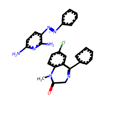 CN1C(=O)CN=C(c2ccccc2)c2cc(Cl)ccc21.Nc1ccc(/N=N/c2ccccc2)c(N)n1